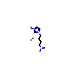 CN(C)CCCC[n+]1ccn(C)c1.[Br-]